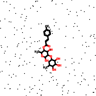 Cc1ccc(/C=C/C(=O)OC2C(C)OC(O)C(OC3CC(C)C(O)C(O)C3O)C2O)cc1